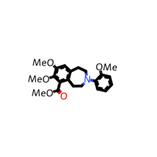 COC(=O)c1c2c(cc(OC)c1OC)CCN(c1ccccc1OC)CC2